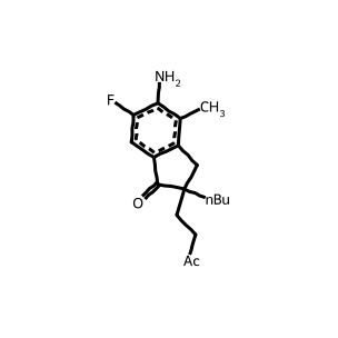 CCCCC1(CCC(C)=O)Cc2c(cc(F)c(N)c2C)C1=O